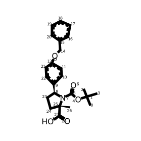 CC(C)(C)OC(=O)N1[C@H](c2ccc(OCc3ccccc3)cc2)CC[C@@]1(C)C(=O)O